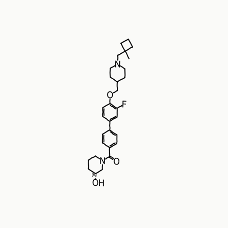 CC1(CN2CCC(COc3ccc(-c4ccc(C(=O)N5CCC[C@@H](O)C5)cc4)cc3F)CC2)CCC1